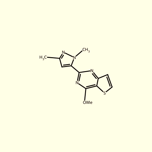 COc1nc(-c2cc(C)nn2C)nc2ccsc12